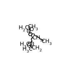 C=C(C)C(=O)OC1=CC(CCCCCCCC)=C(/C(C)=C/C=C(\CC)OC(=O)C(=C)C)CC1